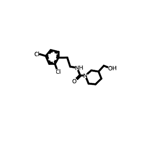 O=C(NCCc1ccc(Cl)cc1Cl)N1CCCC(CO)C1